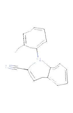 Cc1ccccc1-n1c(C#N)cc2ccccc21